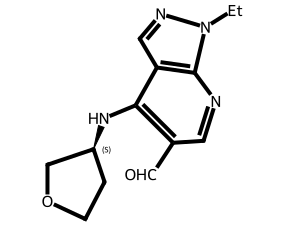 CCn1ncc2c(N[C@H]3CCOC3)c(C=O)cnc21